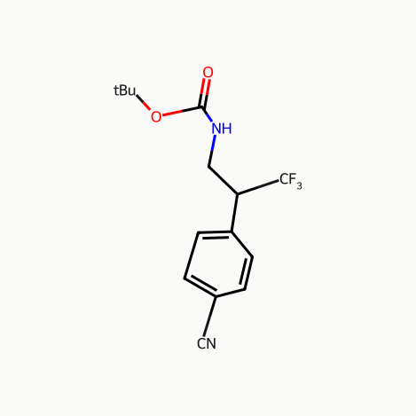 CC(C)(C)OC(=O)NCC(c1ccc(C#N)cc1)C(F)(F)F